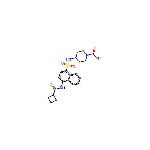 CCCC(=O)N1CCC(NS(=O)(=O)c2ccc(NC(=O)C3CCC3)c3ccccc23)CC1